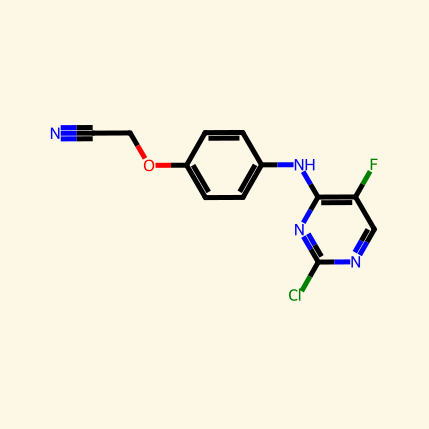 N#CCOc1ccc(Nc2nc(Cl)ncc2F)cc1